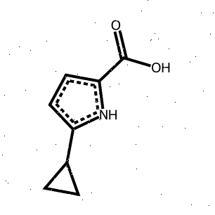 O=C(O)c1ccc(C2CC2)[nH]1